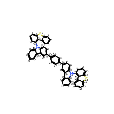 c1ccc2c(c1)sc1cccc(-n3c4ccccc4c4cc(-c5ccc(-c6ccc7c(c6)c6ccccc6n7-c6cccc7sc8ccccc8c67)cc5)ccc43)c12